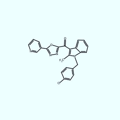 O=C(c1nnc(-c2cccnc2)o1)c1c(C(F)(F)F)n(Cc2ccc(Cl)cc2)c2ccccc12